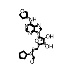 O=CN(SC[C@H]1O[C@@H](n2cnc3c(N[C@@H]4CCOC4)ncnc32)[C@H](O)[C@@H]1O)C1CCCC1